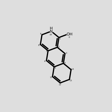 OC1=c2cc3c(cc2=CCN1)C=CCC3